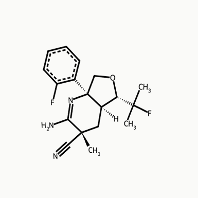 CC(C)(F)[C@H]1OC[C@]2(c3ccccc3F)N=C(N)[C@@](C)(C#N)C[C@H]12